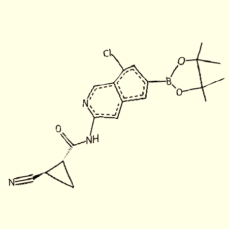 CC1(C)OB(c2cc(Cl)c3cnc(NC(=O)[C@@H]4C[C@H]4C#N)cc3c2)OC1(C)C